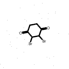 O=C1CCC(=O)C(Br)C1Br